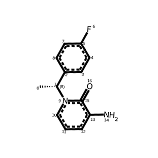 C[C@H](c1ccc(F)cc1)n1cccc(N)c1=O